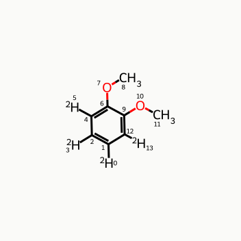 [2H]c1c([2H])c([2H])c(OC)c(OC)c1[2H]